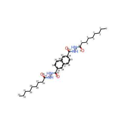 CCCCCCCCC(=O)NNC(=O)c1ccc2cc(C(=O)NNC(=O)CCCCCCCC)ccc2c1